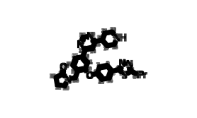 CC(C)c1nnc(-c2ccc(Oc3cc(-c4cc(C5CCNCC5)ncn4)ccc3CN3CCCC3=O)cc2)s1